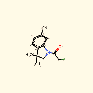 CC1(C)CN(C(=O)CCl)c2cc(C#N)ccc21